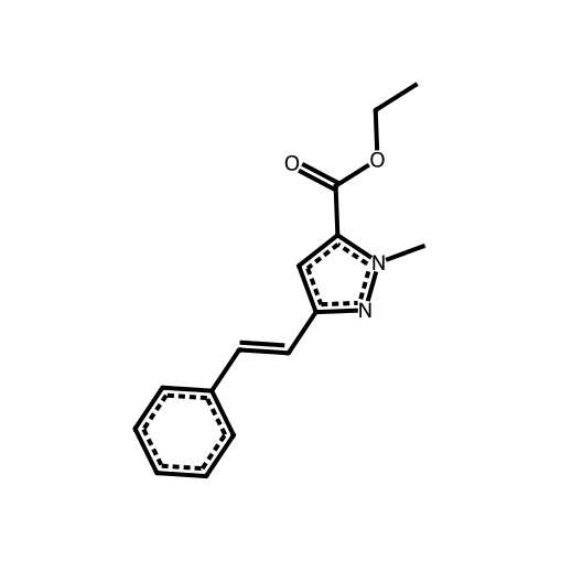 CCOC(=O)c1cc(C=Cc2ccccc2)nn1C